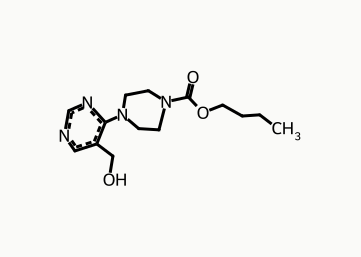 CCCCOC(=O)N1CCN(c2ncncc2CO)CC1